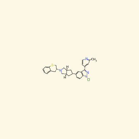 Cc1cc(-c2nn(Cl)c3ccc(C4C[C@@H]5CN(C6CSc7ccccc7C6)C[C@@H]5C4)cc23)ccn1